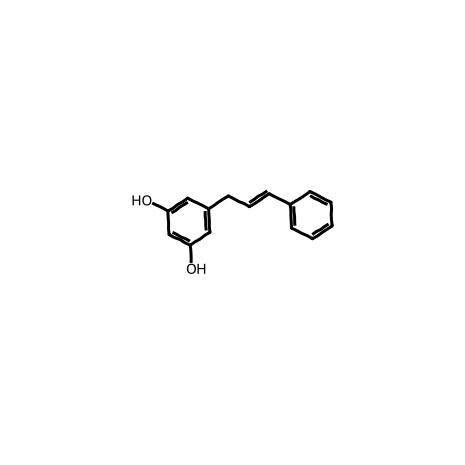 Oc1cc(O)cc(CC=Cc2ccccc2)c1